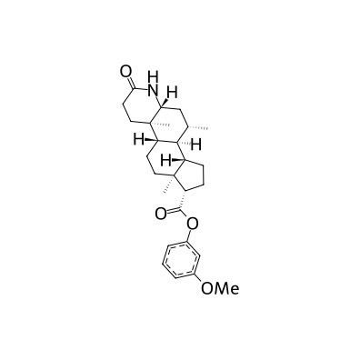 COc1cccc(OC(=O)[C@H]2CC[C@H]3[C@@H]4[C@@H](C)C[C@H]5NC(=O)CC[C@]5(C)[C@H]4CC[C@]23C)c1